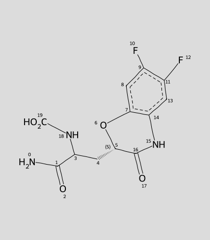 NC(=O)C(C[C@@H]1Oc2cc(F)c(F)cc2NC1=O)NC(=O)O